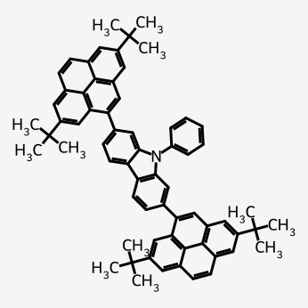 CC(C)(C)c1cc2ccc3cc(C(C)(C)C)cc4c(-c5ccc6c7ccc(-c8cc9cc(C(C)(C)C)cc%10ccc%11cc(C(C)(C)C)cc8c%11c%109)cc7n(-c7ccccc7)c6c5)cc(c1)c2c34